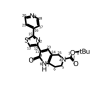 CC(C)(C)OC(=O)N1CCc2[nH]c(=O)c(-c3csc(-c4ccncc4)n3)cc2C1